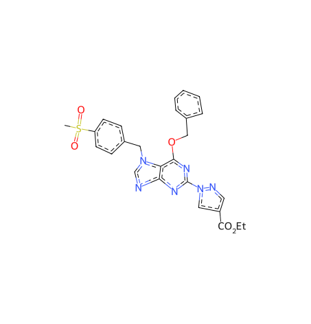 CCOC(=O)c1cnn(-c2nc(OCc3ccccc3)c3c(ncn3Cc3ccc(S(C)(=O)=O)cc3)n2)c1